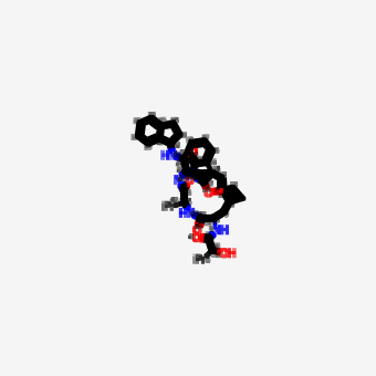 CC(C)[C@H](O)C(=O)N[C@H]1Cc2ccc3c(c2)[C@@]2(c4ccccc4NC2O3)c2oc(nc2C(=O)NC2CCc3ccccc32)[C@H](C(C)C)NC1=O